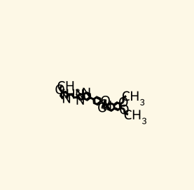 CCOc1cc2c(cc1OCC)CN(S(=O)(=O)c1ccc(-c3cnc4[nH]c(CCc5cc(OC)ccn5)nc4c3)cc1)CC2